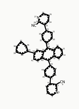 N#Cc1ncccc1-c1ccc(-c2c3ccccc3c(-c3ccc(-c4cccnc4C#N)cc3)c3cc(-c4ccccc4)ccc23)cc1